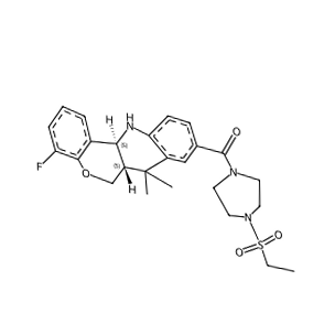 CCS(=O)(=O)N1CCN(C(=O)c2ccc3c(c2)C(C)(C)[C@@H]2COc4c(F)cccc4[C@H]2N3)CC1